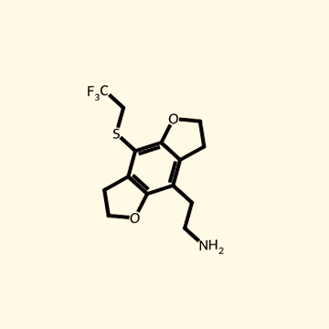 NCCc1c2c(c(SCC(F)(F)F)c3c1OCC3)OCC2